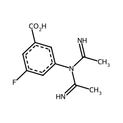 CC(=N)N(C(C)=N)c1cc(F)cc(C(=O)O)c1